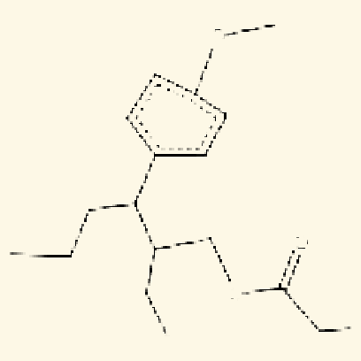 CCCC(c1ccc(OC)cc1)C(CC)COC(=O)CC